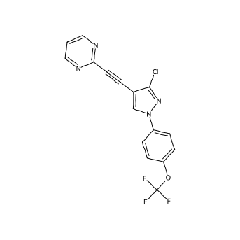 FC(F)(F)Oc1ccc(-n2cc(C#Cc3ncccn3)c(Cl)n2)cc1